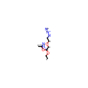 CCOC(COCCN=[N+]=[N-])OC(C)N